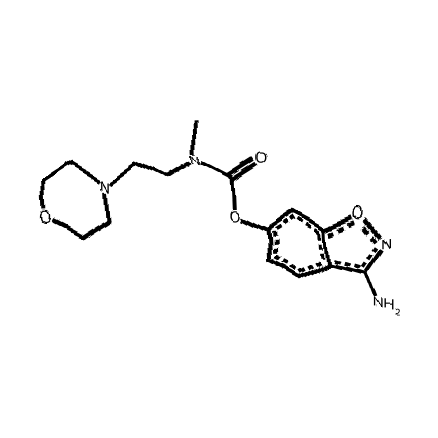 CN(CCN1CCOCC1)C(=O)Oc1ccc2c(N)noc2c1